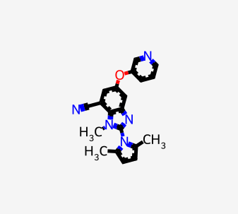 Cc1ccc(C)n1-c1nc2cc(Oc3cccnc3)cc(C#N)c2n1C